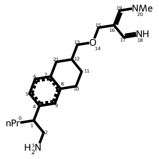 CCCC(CN)c1ccc2c(c1)CCC(COC/C(C=N)=C/NC)C2